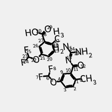 Cc1ccc(OC(F)F)cc1C(=O)N=C(N)N.Cc1ccc(OC(F)F)cc1C(=O)O